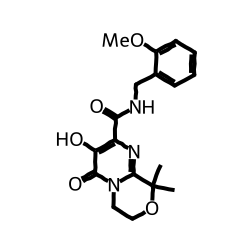 COc1ccccc1CNC(=O)c1nc2n(c(=O)c1O)CCOC2(C)C